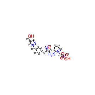 Nc1c(-c2cc(Cc3ccc(Cn4cc(CO)cn4)cc3)no2)ccc[n+]1COP(=O)([O-])O